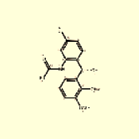 COc1cccc([C@@H](O)c2ccc(Cl)cc2NC(=O)C(C)(C)C)c1OC